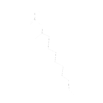 CCCCCCCCCC(I)OC(C)=O